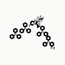 O=C(Nc1nc2ccc(F)cn2c1C1CC1)C(F)(F)F.[Pd].c1ccc(P(c2ccccc2)c2ccccc2)cc1.c1ccc(P(c2ccccc2)c2ccccc2)cc1.c1ccc(P(c2ccccc2)c2ccccc2)cc1.c1ccc(P(c2ccccc2)c2ccccc2)cc1